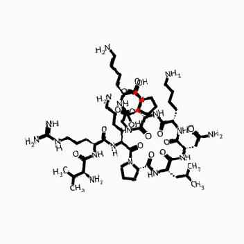 CC(C)C[C@H](NC(=O)[C@@H]1CCCN1C(=O)[C@H](CCCCN)NC(=O)[C@H](CCCNC(=N)N)NC(=O)[C@@H](N)C(C)C)C(=O)N[C@@H](CC(N)=O)C(=O)N[C@@H](CCCCN)C(=O)N[C@@H](CCC(=O)O)C(=O)NCC(=O)N[C@@H](CCCCN)C(=O)N1CCC[C@H]1C(=O)O